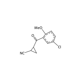 COc1ccc(Cl)cc1C(=O)C1CC1C#N